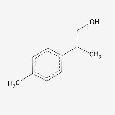 Cc1ccc(C(C)CO)cc1